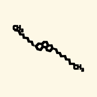 CCCCCCCCCC[C@H]1CCC2C(CCC3C[C@@H](CCCCCCCCCC)CCC32)C1